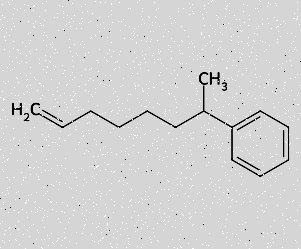 C=CCCCCC(C)c1ccccc1